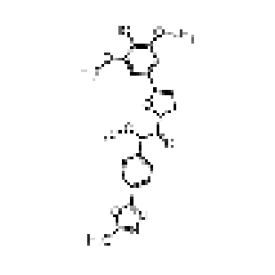 COc1cc(C2=CCC(C(=O)C(OC)c3ccc(-c4nnc(C)o4)cc3)O2)cc(OC)c1O